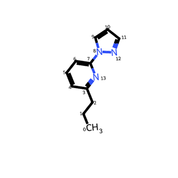 CCCc1cccc(-n2cccn2)n1